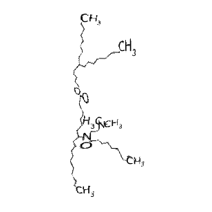 CCCCCCCCCCC(CCCCCC(=O)OCCCCC(CCCCCCCC)CCCCCCCC)N(CCN(C)C)C(=O)CCCCCCC